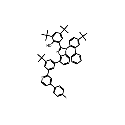 CC(C)(C)c1cc(-c2cc(-c3ccc(F)cc3)ccn2)cc(-c2cccc3c2nc(-c2cc(C(C)(C)C)cc(C(C)(C)C)c2O)n3-c2ccc(C(C)(C)C)cc2-c2ccccc2)c1